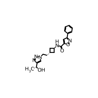 C[C@@H](O)c1cn(CC[C@H]2C[C@H](NC(=O)c3cc(-c4ccccc4)no3)C2)nn1